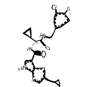 O=C(N[C@@H](C(=O)NCc1ccc(Cl)c(Cl)c1)C1CC1)c1c[nH]c2ncc(C3CC3)nc12